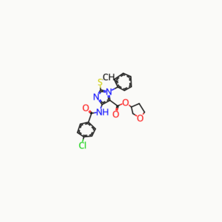 CSc1nc(NC(=O)c2ccc(Cl)cc2)c(C(=O)OC2CCOC2)n1-c1ccccc1